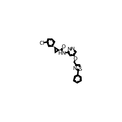 O=C(Nc1cc(OCc2csc(-c3ccccc3)n2)cnn1)[C@H]1C[C@@H]1c1cccc(Cl)c1